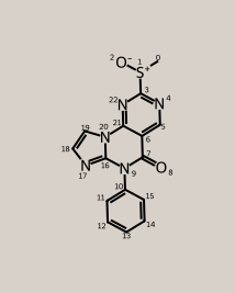 C[S+]([O-])c1ncc2c(=O)n(-c3ccccc3)c3nccn3c2n1